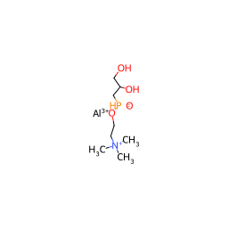 C[N+](C)(C)CCO[PH](=O)CC(O)CO.[Al+3]